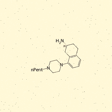 CCCCCN1CCN(c2cccc3c2C[C@H](N)CC3)CC1